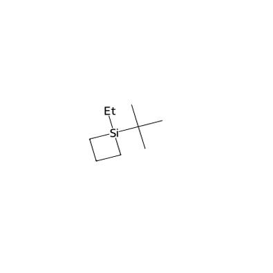 CC[Si]1(C(C)(C)C)CCC1